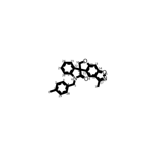 Cc1ccc(CN2C(=O)C3(COc4cc5onc(C)c5cc43)c3ccccc32)cc1